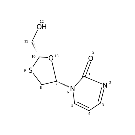 O=c1ncccn1[C@@H]1CS[C@H](CO)O1